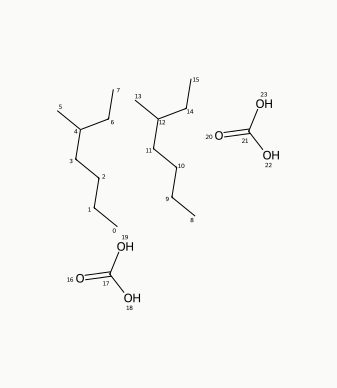 CCCCC(C)CC.CCCCC(C)CC.O=C(O)O.O=C(O)O